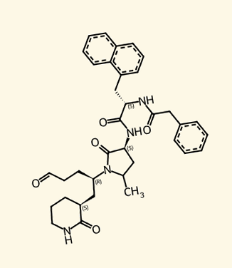 CC1C[C@H](NC(=O)[C@H](Cc2cccc3ccccc23)NC(=O)Cc2ccccc2)C(=O)N1[C@H](CCC=O)C[C@@H]1CCCNC1=O